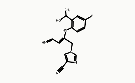 CC(O)c1cc(F)ccc1N/C(=C\C=N)Cn1cnc(C#N)c1